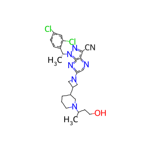 CC(CCO)N1CCCC(C2CN(c3cnc4c(C#N)nn([C@H](C)c5ccc(Cl)cc5Cl)c4n3)C2)C1